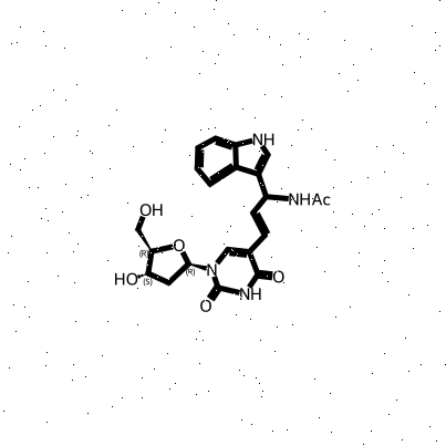 CC(=O)NC(C=Cc1cn([C@H]2C[C@H](O)[C@@H](CO)O2)c(=O)[nH]c1=O)c1c[nH]c2ccccc12